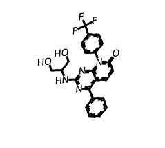 O=c1ccc2c(-c3ccccc3)nc(NC(CO)CO)nc2n1-c1ccc(C(F)(F)F)cc1